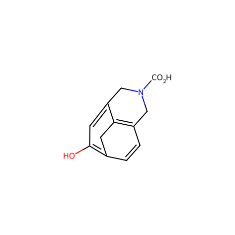 O=C(O)N1CC2=CC(O)=C3C=CC(=C2C3)C1